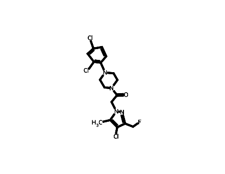 Cc1c(Cl)c(CF)nn1CC(=O)N1CCN(c2ccc(Cl)cc2Cl)CC1